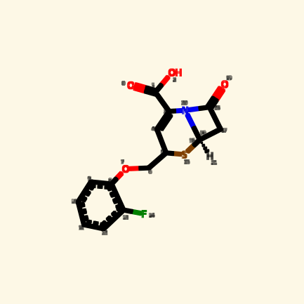 O=C(O)C1=CC(COc2ccccc2F)S[C@@H]2CC(=O)N12